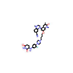 Cc1cc2c(N3CCN(C)c4ccc(C#N)cc43)cc(OCCCCN3CCN(c4ccc(NC5CCC(=O)NC5=O)cc4F)CC3)cc2n(C)c1=O